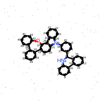 c1cc(C2Nc3ccccc3-c3ccccc32)cc(-n2c3ccccc3c3c4c(ccc32)-c2ccccc2-c2ccccc2O4)c1